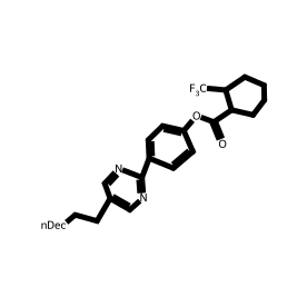 CCCCCCCCCCCCc1cnc(-c2ccc(OC(=O)C3CCCCC3C(F)(F)F)cc2)nc1